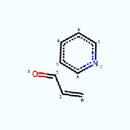 C=CC=O.c1ccncc1